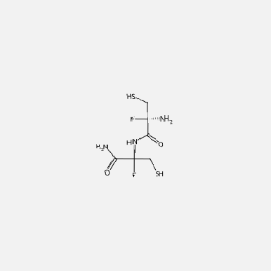 NC(=O)C(F)(CS)NC(=O)[C@@](N)(F)CS